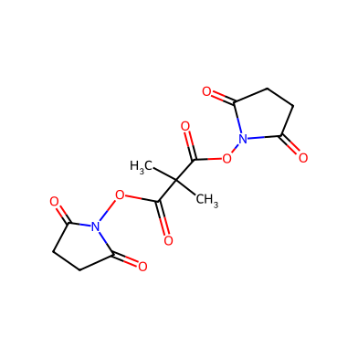 CC(C)(C(=O)ON1C(=O)CCC1=O)C(=O)ON1C(=O)CCC1=O